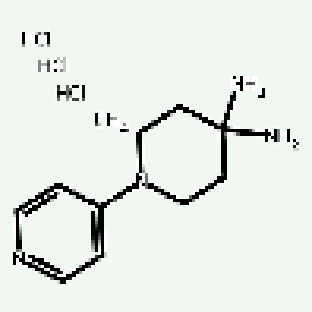 C.Cl.Cl.Cl.NC1(N)CCN(c2ccncc2)CC1